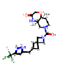 O=C1CO[C@H]2CCN(C(=O)N3CC4(CC(Cc5cc(C(F)(F)F)n[nH]5)C4)C3)C[C@H]2N1